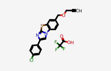 C#CCOCc1ccc2c(c1)sc1nc(-c3ccc(Cl)cc3)cn12.O=C(O)C(F)(F)F